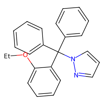 CCOc1ccccc1C(c1ccccc1)(c1ccccc1)n1cccn1